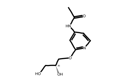 CC(=O)Nc1ccnc(OC[C@H](O)CO)c1